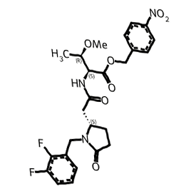 CO[C@H](C)[C@H](NC(=O)C[C@@H]1CCC(=O)N1Cc1cccc(F)c1F)C(=O)OCc1ccc([N+](=O)[O-])cc1